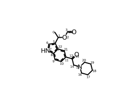 CC(OC=O)c1c[nH]c2ccc(C(=O)CN3CCCCC3)cc12